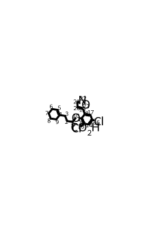 O=C(O)C(CCC1=CCCCC1)Oc1c(Cl)cc(Cl)cc1-c1ccno1